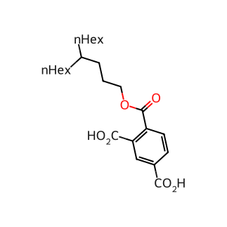 CCCCCCC(CCCCCC)CCCOC(=O)c1ccc(C(=O)O)cc1C(=O)O